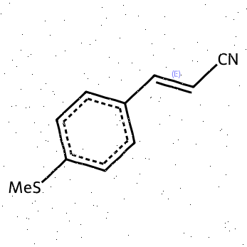 CSc1ccc(/C=C/C#N)cc1